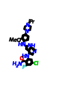 COc1cc(N2CCN(C(C)C)CC2)ccc1Nc1cc2c(Nc3cc(Cl)cc(F)c3C(N)=O)cncc2[nH]1